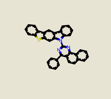 c1ccc(-c2nc(-n3c4ccccc4c4cc5c(cc43)sc3ccccc35)nc3c2ccc2ccccc23)cc1